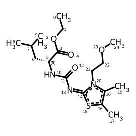 CCOC(=O)[C@@H](CC(C)C)NC(=O)N=c1sc(C)c(C)n1CCOC